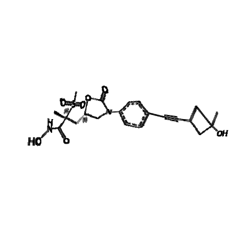 CC1(O)CC(C#Cc2ccc(N3C[C@H](C[C@](C)(C(=O)NO)S(C)(=O)=O)OC3=O)cc2)C1